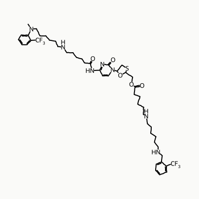 CN(CCCCCCNCCCCCC(=O)Nc1ccn(C2CSC(COC(=O)CCCCCNCCCCCCNCc3ccccc3C(F)(F)F)O2)c(=O)n1)c1ccccc1C(F)(F)F